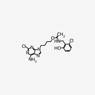 C=C(NCc1c(O)cccc1Cl)OCCCCn1cnc2c(N)nc(Cl)nc21